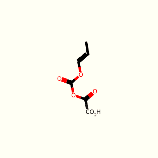 CC=COC(=O)OC(=O)C(=O)O